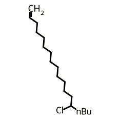 C=CCCCCCCCCCCCC(Cl)CCCC